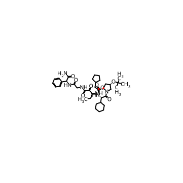 CCC(NC(=O)[C@@H]1C[C@@H](OC(C)(C)C)CN1C(=O)[C@@H](NC(=O)CC1CCCC1)C1CCCCC1)C(=O)C(=O)NCC(=O)N[C@H](C(N)=O)c1ccccc1